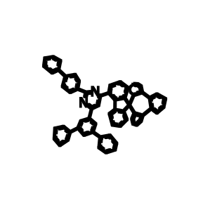 c1ccc(-c2ccc(-c3nc(-c4cc(-c5ccccc5)cc(-c5ccccc5)c4)cc(-c4cccc5c4-c4ccccc4C54c5ccccc5-c5ccccc5-c5ccccc54)n3)cc2)cc1